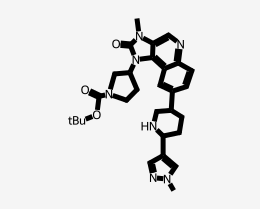 Cn1cc(C2CCC(c3ccc4ncc5c(c4c3)n(C3CCN(C(=O)OC(C)(C)C)C3)c(=O)n5C)CN2)cn1